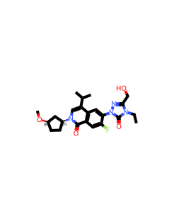 CCn1c(CO)nn(-c2cc3c(C(C)C)cn([C@H]4CC[C@@H](OC)C4)c(=O)c3cc2F)c1=O